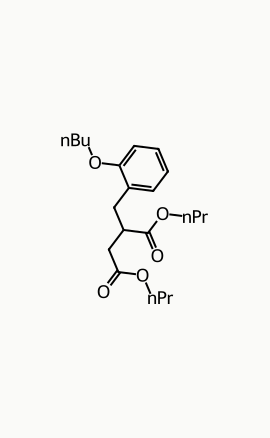 CCCCOc1ccccc1CC(CC(=O)OCCC)C(=O)OCCC